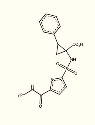 CCCNC(=O)c1ccc(S(=O)(=O)NC2(C(=O)O)CC2c2ccccc2)s1